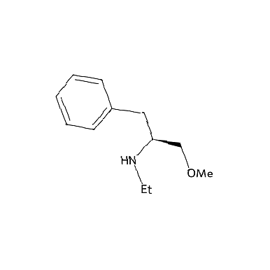 CCN[C@H](COC)Cc1ccccc1